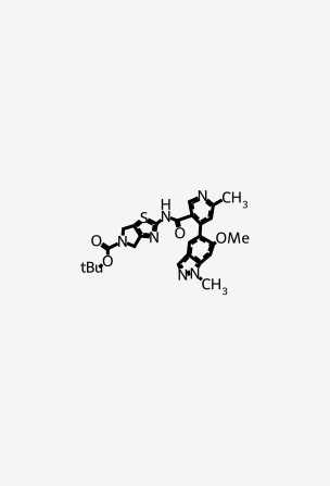 COc1cc2c(cnn2C)cc1-c1cc(C)ncc1C(=O)Nc1nc2c(s1)CN(C(=O)OC(C)(C)C)C2